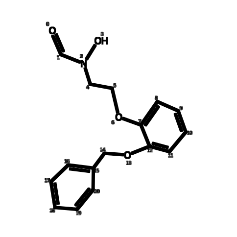 O=CN(O)CCOc1ccccc1OCc1ccccc1